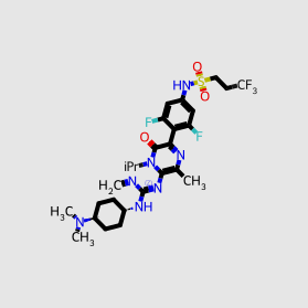 C=N/C(=N\c1c(C)nc(-c2c(F)cc(NS(=O)(=O)CCC(F)(F)F)cc2F)c(=O)n1C(C)C)N[C@H]1CC[C@H](N(C)C)CC1